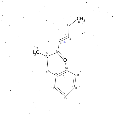 CC/C=C/C(=O)N(C)Cc1ccccc1